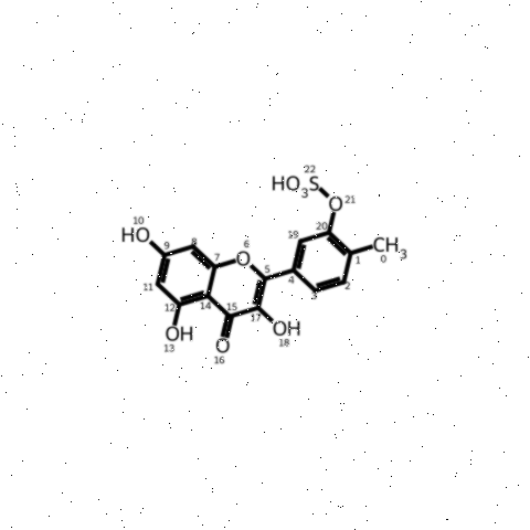 Cc1ccc(-c2oc3cc(O)cc(O)c3c(=O)c2O)cc1OS(=O)(=O)O